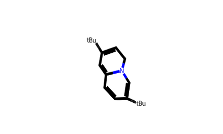 CC(C)(C)C1=CCN2C=C(C(C)(C)C)C=CC2=C1